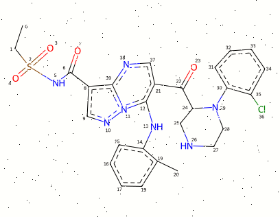 CCS(=O)(=O)NC(=O)c1cnn2c(Nc3ccccc3C)c(C(=O)C3CNCCN3c3ccccc3Cl)cnc12